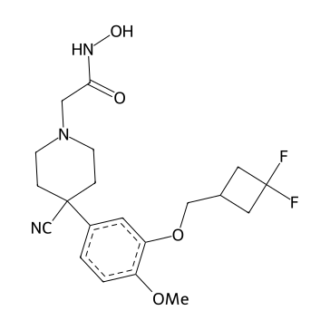 COc1ccc(C2(C#N)CCN(CC(=O)NO)CC2)cc1OCC1CC(F)(F)C1